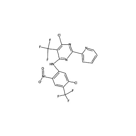 O=[N+]([O-])c1cc(C(F)(F)F)c(Cl)cc1Nc1nc(-c2ccccn2)nc(Cl)c1C(F)(F)F